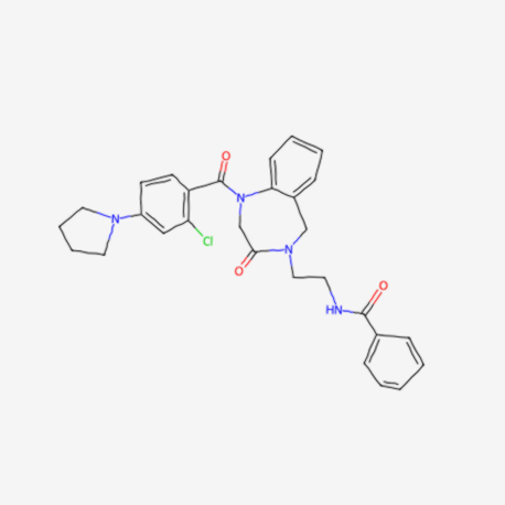 O=C(NCCN1Cc2ccccc2N(C(=O)c2ccc(N3CCCC3)cc2Cl)CC1=O)c1ccccc1